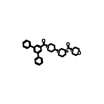 O=C(c1cc(-c2ccccc2)cc(-c2ccccc2)c1)N1CCC(N2CCC[C@@H](C(=O)N3CCOCC3)C2)CC1